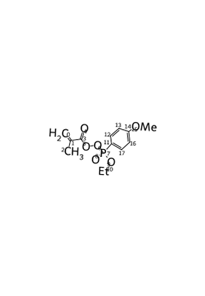 C=C(C)C(=O)OOP(=O)(OCC)c1ccc(OC)cc1